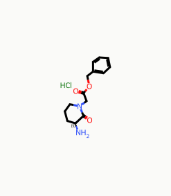 Cl.N[C@H]1CCCN(CC(=O)OCc2ccccc2)C1=O